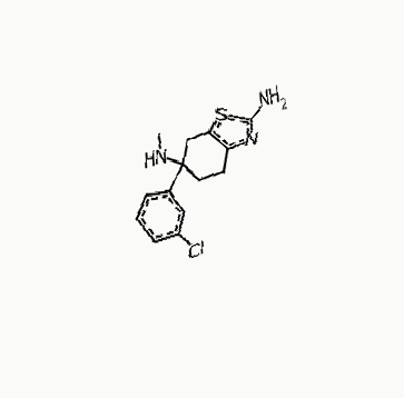 CNC1(c2cccc(Cl)c2)CCc2nc(N)sc2C1